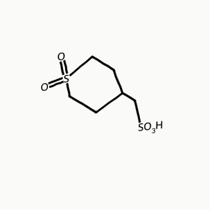 O=S(=O)(O)CC1CCS(=O)(=O)CC1